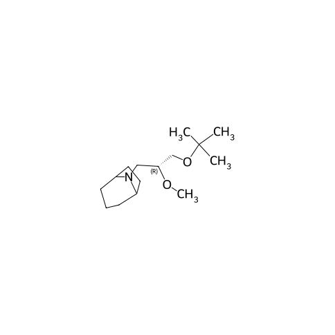 CO[C@@H](COC(C)(C)C)CN1C2CCCC1CC2